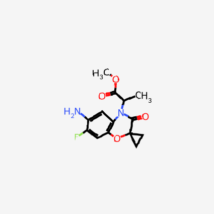 COC(=O)C(C)N1C(=O)C2(CC2)Oc2cc(F)c(N)cc21